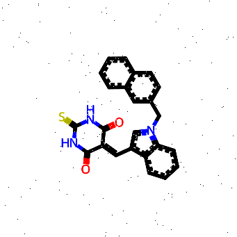 O=C1NC(=S)NC(=O)C1=Cc1cn(Cc2ccc3ccccc3c2)c2ccccc12